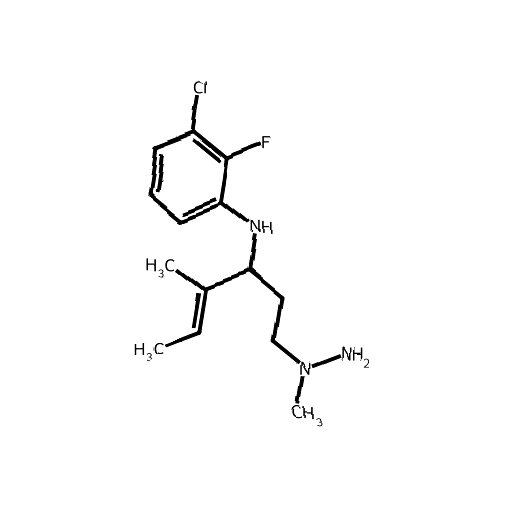 C/C=C(\C)C(CCN(C)N)Nc1cccc(Cl)c1F